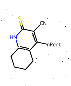 CCCCCc1c2c([nH]c(=S)c1C#N)CCCC2